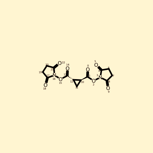 O=C(ON1C(=O)CCC1=O)[C@H]1C[C@@H]1C(=O)ON1C(=O)CCC1=O